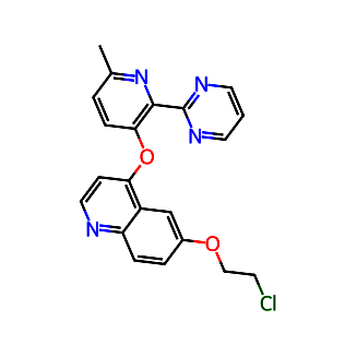 Cc1ccc(Oc2ccnc3ccc(OCCCl)cc23)c(-c2ncccn2)n1